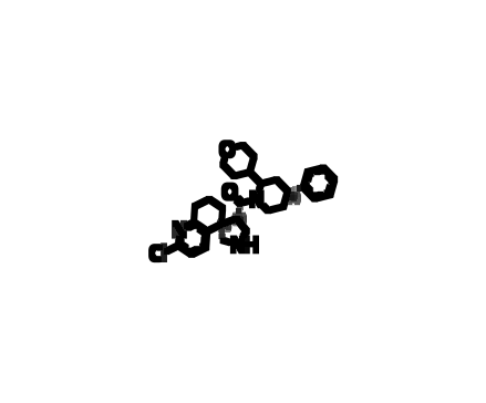 O=C([C@@H]1CNC[C@]12CCCc1nc(Cl)ccc12)N1CC[C@@H](c2ccccc2)CC1C1CCOCC1